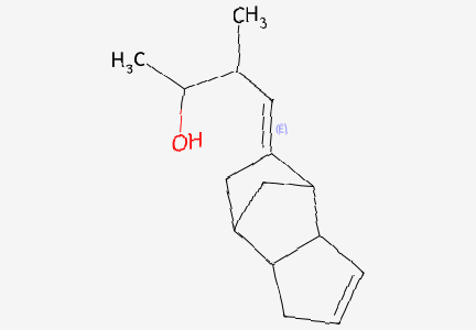 CC(O)C(C)/C=C1\CC2CC1C1C=CCC21